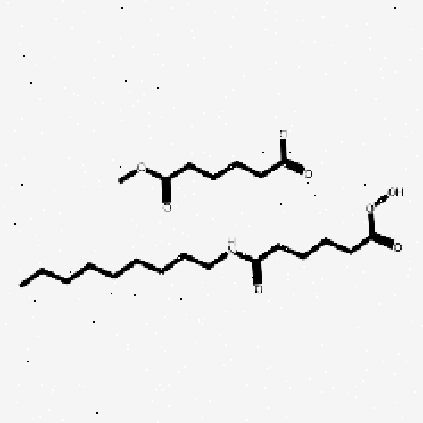 CCCCCCCCCNC(=O)CCCCC(=O)OO.COC(=O)CCCCC(=O)Cl